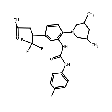 CC1CC(C)CN(c2ccc(C(CC(=O)O)C(F)(F)F)cc2NC(=O)Nc2ccc(F)cc2)C1